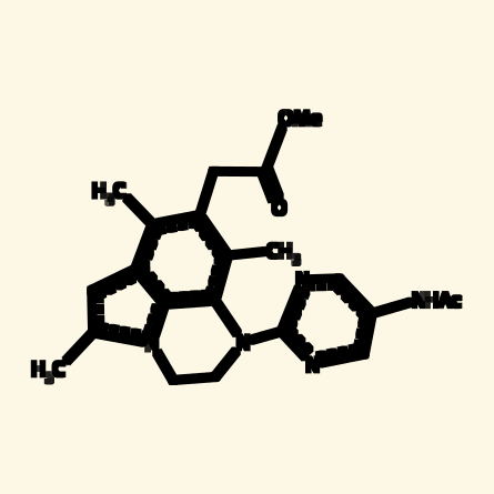 COC(=O)Cc1c(C)c2c3c(cc(C)n3CCN2c2ncc(NC(C)=O)cn2)c1C